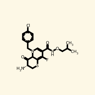 CC(C)CONC(=O)C1=CN(Cc2ccc(Cl)cc2)C2C(=O)[C@@H](N)CSC2=C1F